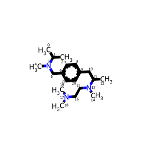 CC(C)N(C)Cc1ccc(CC(C)N(C)CCN(C)C)cc1